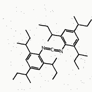 CCC(C)c1cc(C(C)CC)c(N=C=Nc2c(C(C)CC)cc(C(C)CC)cc2C(C)CC)c(C(C)CC)c1